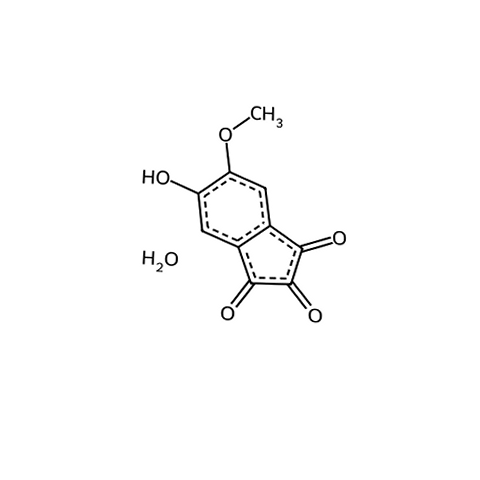 COc1cc2c(=O)c(=O)c(=O)c2cc1O.O